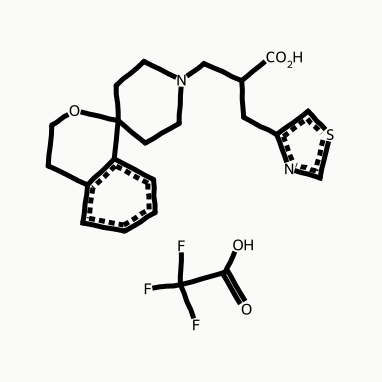 O=C(O)C(Cc1cscn1)CN1CCC2(CC1)OCCc1ccccc12.O=C(O)C(F)(F)F